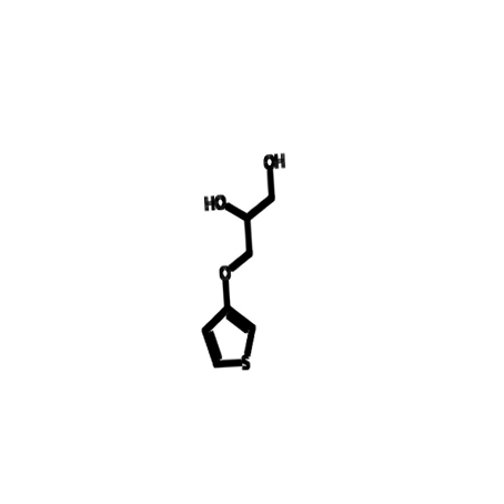 OCC(O)COc1ccsc1